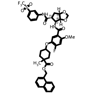 COc1cc(F)c(OC2CCC(C)(C(=O)OCc3cccc4ccccc34)CC2)cc1C(=O)N[C@@H]1[C@H]2OCO[C@H]2C[C@@H]1C(=O)Nc1cccc(S(=O)(=O)C(F)(F)F)c1